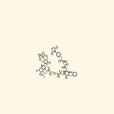 CC[C@@]1(O)C(=O)OCc2c1cc1n(c2=S)Cc2c-1nc1cc(F)c(C)c3c1c2C(NC(=O)COCNC(=O)CNC(=O)[C@H](Cc1ccccc1)NC(=O)CNC(=O)CNC(=O)Cc1ccc(N2C(=O)C=CC2=O)cc1)CC3